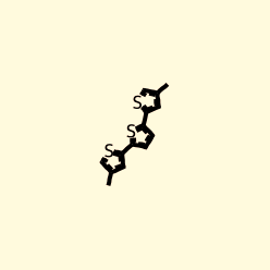 Cc1csc(-c2ccc(-c3cc(C)cs3)s2)c1